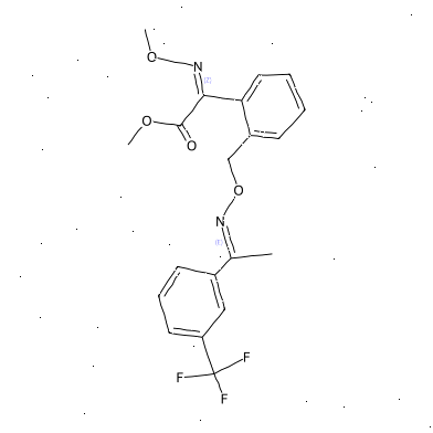 CO/N=C(\C(=O)OC)c1ccccc1CO/N=C(\C)c1cccc(C(F)(F)F)c1